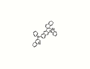 C1=Cc2ncc(P(c3ccccc3)c3ccc4cc5c(cc4c3)c3ccc4c(c3c3nc6ccccc6n53)=CCCC=4)cc2CC1